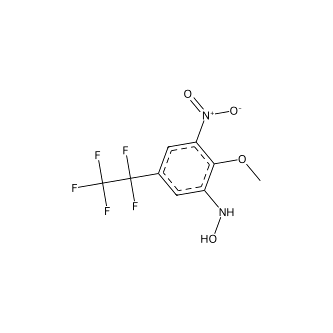 COc1c(NO)cc(C(F)(F)C(F)(F)F)cc1[N+](=O)[O-]